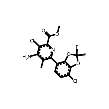 COC(=O)c1nc(-c2ccc(Cl)c3c2OC(F)(F)O3)c(C)c(N)c1Cl